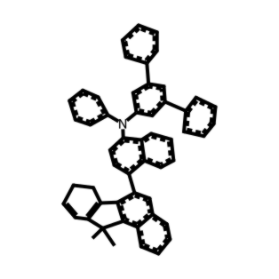 CC1(C)C2=C(CCC=C2)c2c(-c3ccc(N(c4ccccc4)c4cc(-c5ccccc5)cc(-c5ccccc5)c4)c4ccccc34)cc3ccccc3c21